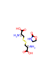 N[C@@H](CSSC[C@H](N)C(=O)O)C(=O)O.O=C1NCCO1